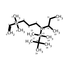 C=C[Si](C)(C)CCCN(C(C)CC)[Si](C)(C)C(C)(C)C